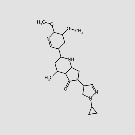 COC1CC(C2CC(C)C3C(=O)N(C4C=NN(C5CC5)C4)CC3N2)C=NC1OC